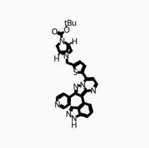 CC(C)(C)OC(=O)N1C[C@@H]2C[C@H]1CN2Cc1ccc(-c2ccnc3c(-c4cccc5[nH]ncc45)c(-c4ccncc4)nn23)s1